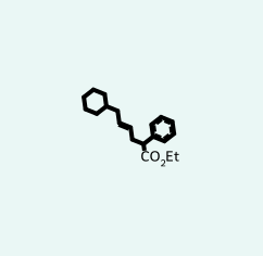 CCOC(=O)C(CC=CCC1CCCCC1)c1ccccc1